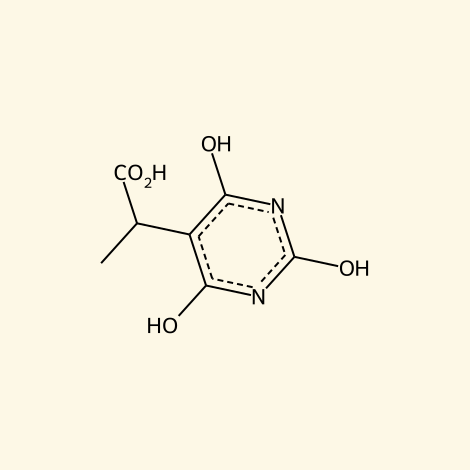 CC(C(=O)O)c1c(O)nc(O)nc1O